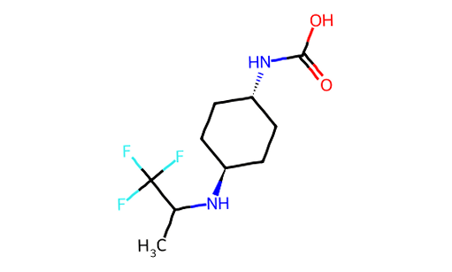 CC(N[C@H]1CC[C@H](NC(=O)O)CC1)C(F)(F)F